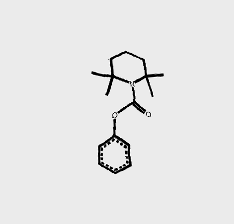 CC1(C)[CH]CCC(C)(C)N1C(=O)Oc1ccccc1